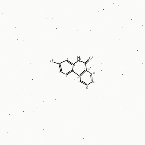 O=c1[nH]c2cc(F)ccc2c2cnccc12